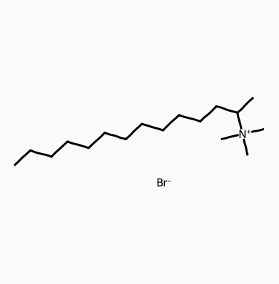 CCCCCCCCCCCCC(C)[N+](C)(C)C.[Br-]